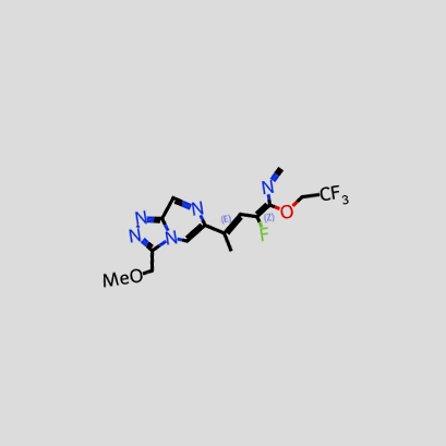 C=N/C(OCC(F)(F)F)=C(F)\C=C(/C)c1cn2c(COC)nnc2cn1